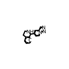 [c]1c(C2NCCc3ccccc32)ccn2nncc12